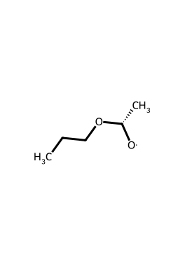 CCCO[C@H](C)[O]